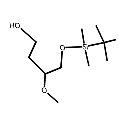 COC(CCO)CO[Si](C)(C)C(C)(C)C